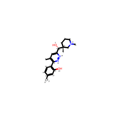 Cc1cc([C@H](O)[C@]2(C)CCCN(C)C2)nnc1-c1ccc(C(F)(F)F)cc1O